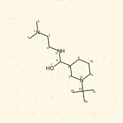 CN(C)CCNC(O)C1CCCN(C(C)(C)C)C1